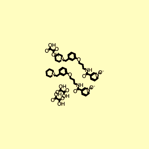 O=C(NCCCOc1cccc(CN2CCCCC2)c1)c1ccc[n+]([O-])c1.O=C(NCCCOc1cccc(CN2CCCCC2)c1)c1ccc[n+]([O-])c1.O=C(O)C(=O)O.O=C(O)C(=O)O.O=C(O)C(=O)O